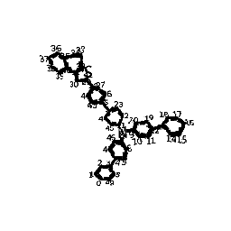 c1ccc(-c2ccc(N(c3ccc(-c4ccccc4)cc3)c3ccc(-c4ccc(-c5cc6c(ccc7ccccc76)s5)cc4)cc3)cc2)cc1